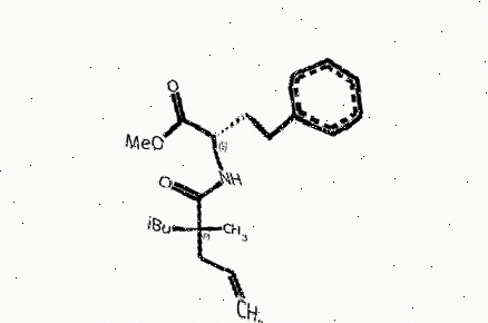 C=CC[C@@](C)(C(=O)N[C@@H](CCc1ccccc1)C(=O)OC)C(C)CC